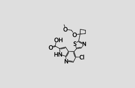 COCOC1(c2ncc(-c3c(Cl)cnc4[nH]c(C(=O)O)cc34)s2)CCC1